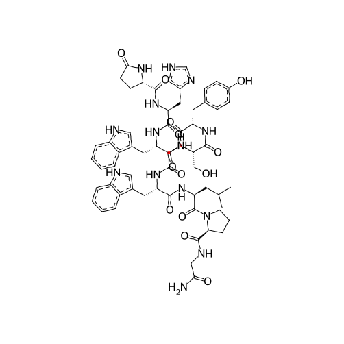 CC(C)C[C@H](NC(=O)[C@H](Cc1c[nH]c2ccccc12)NC(=O)CNC(=O)[C@H](Cc1ccc(O)cc1)NC(=O)[C@H](CO)NC(=O)[C@H](Cc1c[nH]c2ccccc12)NC(=O)[C@H](Cc1c[nH]cn1)NC(=O)[C@@H]1CCC(=O)N1)C(=O)N1CCC[C@H]1C(=O)NCC(N)=O